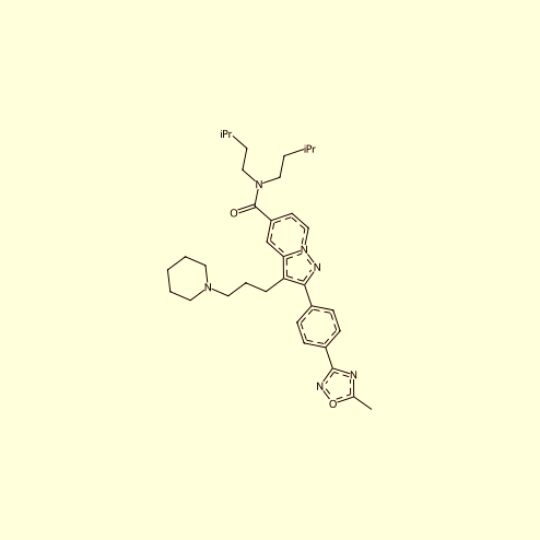 Cc1nc(-c2ccc(-c3nn4ccc(C(=O)N(CCC(C)C)CCC(C)C)cc4c3CCCN3CCCCC3)cc2)no1